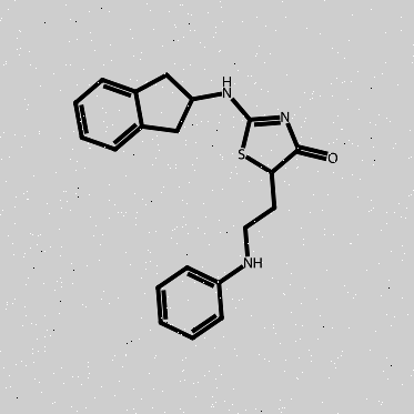 O=C1N=C(NC2Cc3ccccc3C2)SC1CCNc1ccccc1